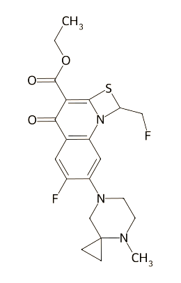 CCOC(=O)c1c2n(c3cc(N4CCN(C)C5(CC5)C4)c(F)cc3c1=O)C(CF)S2